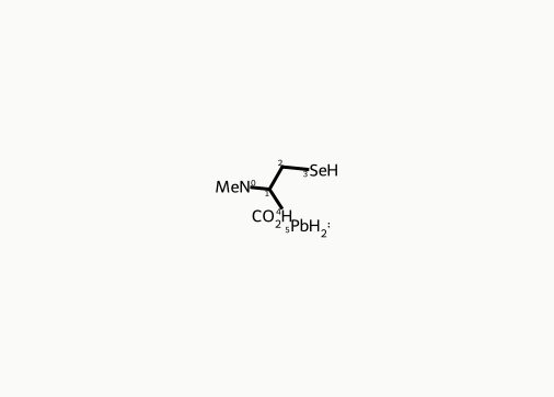 CNC(C[SeH])C(=O)O.[PbH2]